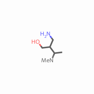 CNC(C)C(CN)CO